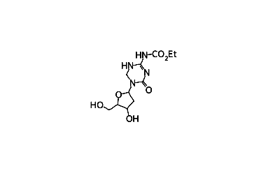 CCOC(=O)NC1=NC(=O)N(C2CC(O)C(CO)O2)CN1